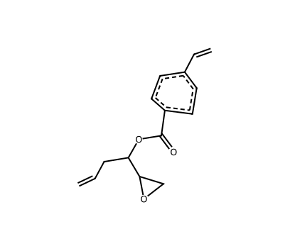 C=CCC(OC(=O)c1ccc(C=C)cc1)C1CO1